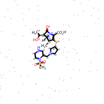 CC(O)[C@H]1C(=O)N2C(C(=O)O)=C(S[C@@H]3CCN(CC4CNCCN4S(C)(=O)=O)C3)[C@H](C)[C@H]12